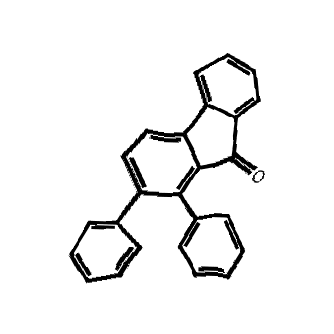 O=C1c2ccccc2-c2ccc(-c3ccccc3)c(-c3ccccc3)c21